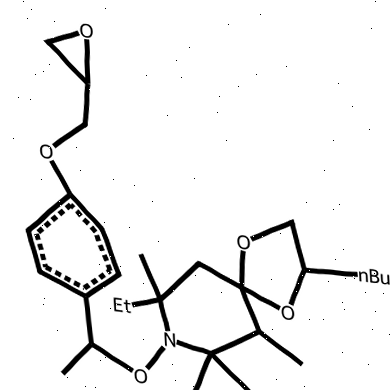 CCCCC1COC2(CC(C)(CC)N(OC(C)c3ccc(OCC4CO4)cc3)C(C)(CC)C2C)O1